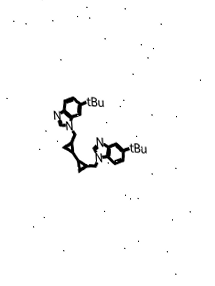 CC(C)(C)c1ccc2c(c1)ncn2CC1CC1C1CC1Cn1cnc2ccc(C(C)(C)C)cc21